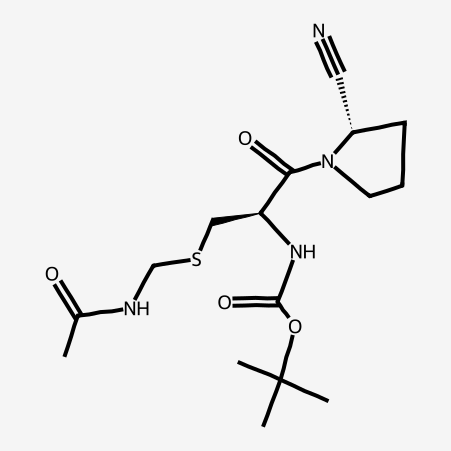 CC(=O)NCSC[C@H](NC(=O)OC(C)(C)C)C(=O)N1CCC[C@H]1C#N